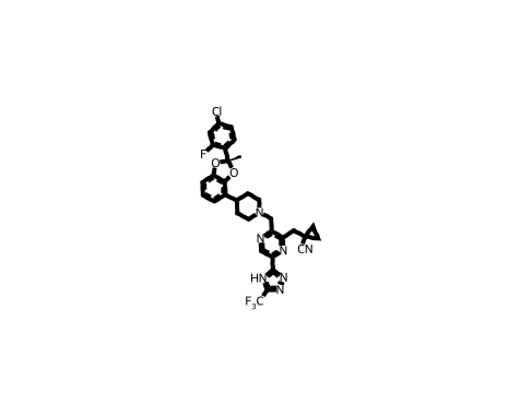 C[C@]1(c2ccc(Cl)cc2F)Oc2cccc(C3CCN(Cc4ncc(-c5nnc(C(F)(F)F)[nH]5)nc4CC4(C#N)CC4)CC3)c2O1